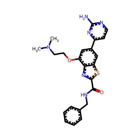 CN(C)CCOc1cc(-c2ccnc(N)n2)cc2sc(C(=O)NCc3ccccc3)nc12